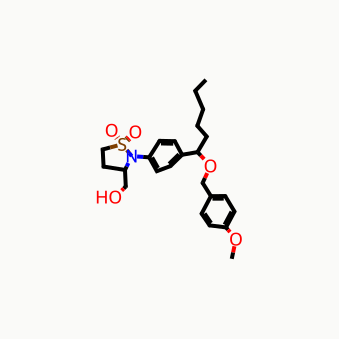 CCCCCC(OCc1ccc(OC)cc1)c1ccc(N2C(CO)CCS2(=O)=O)cc1